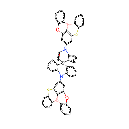 c1ccc2c(c1)Oc1cc(N3c4ccccc4[Si]4(c5ccccc53)c3ccccc3N(c3cc5c6c(c3)Sc3ccccc3B6c3ccccc3O5)c3ccccc34)cc3c1B2c1ccccc1S3